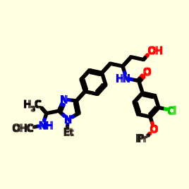 CCn1cc(-c2ccc(CC(CCO)NC(=O)c3ccc(OC(C)C)c(Cl)c3)cc2)nc1C(C)NC=O